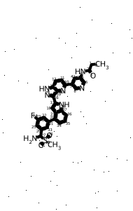 CCC(=O)Nc1cncc(-c2ccc3[nH]nc(-c4cc5c(-c6cc(F)cc(C(N)S(C)(=O)=O)c6)cccc5[nH]4)c3n2)c1